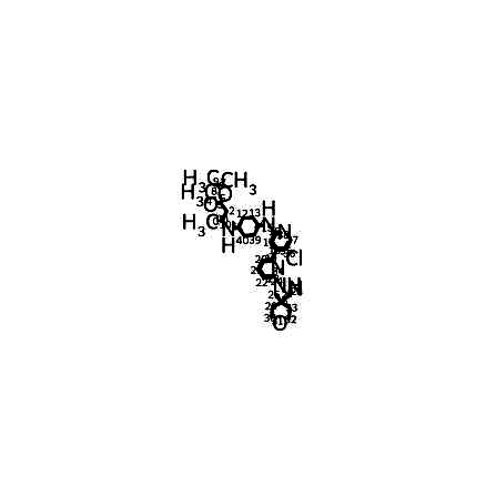 C[C@H](CC(=O)OC(C)(C)C)NC1CCC(Nc2cc(-c3cccc(NCC4(C#N)CCOCC4)n3)c(Cl)cn2)CC1